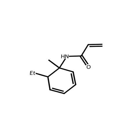 C=CC(=O)NC1(C)C=CC=CC1CC